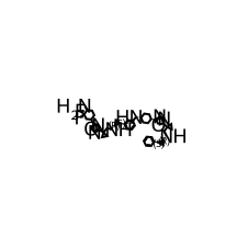 NC1CCC(c2nc(C3(CN[C@@H]4C[C@H]4c4cccc(N[C@H]5CC[C@H](c6nnc(C7(CN[C@@H]8C[C@H]8c8ccccc8)CC7)o6)CC5)c4)CC3)no2)CC1(F)F